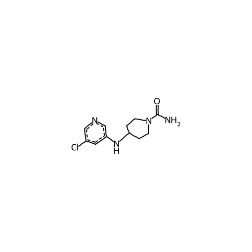 NC(=O)N1CCC(Nc2cncc(Cl)c2)CC1